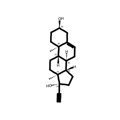 C#C[C@]1(O)CC[C@H]2[C@@H]3CC=C4C[C@H](O)CC[C@]4(C)[C@H]3CC[C@@]21C